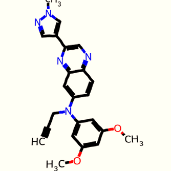 C#CCN(c1cc(OC)cc(OC)c1)c1ccc2ncc(-c3cnn(C)c3)nc2c1